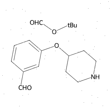 CC(C)(C)OC=O.O=Cc1cccc(OC2CCNCC2)c1